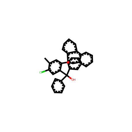 Cc1cc(-c2cc3ccccc3c3ccccc23)c(C(O)(c2ccccc2)c2ccccc2)cc1Cl